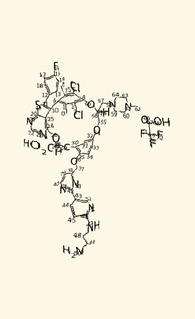 Cc1c(Cl)c2c(Cl)c(C)c1-c1c(-c3ccc(F)cc3)sc3ncnc(c13)O[C@@H](C(=O)O)Cc1cc(ccc1OCc1ccnc(-c3ccc(NCCN)nc3)n1)OC[C@@H](CN1CCN(C)CC1)O2.O=C(O)C(F)(F)F